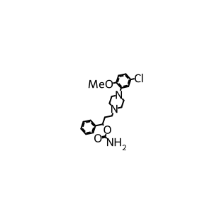 COc1ccc(Cl)cc1N1CCN(CCC(OC(N)=O)c2ccccc2)CC1